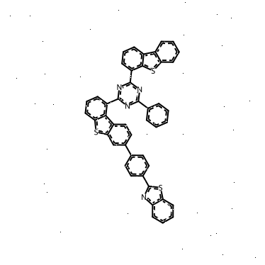 c1ccc(-c2nc(-c3cccc4c3sc3ccccc34)nc(-c3cccc4sc5cc(-c6ccc(-c7nc8ccccc8s7)cc6)ccc5c34)n2)cc1